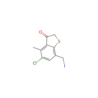 Cc1c(Cl)cc(CI)c2c1C(=O)CS2